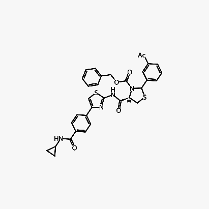 CC(=O)c1cccc(C2SC[C@@H](C(=O)Nc3nc(-c4ccc(C(=O)NC5CC5)cc4)cs3)N2C(=O)OCc2ccccc2)c1